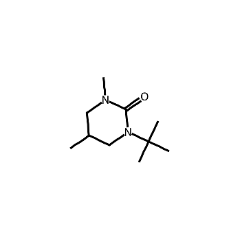 CC1CN(C)C(=O)N(C(C)(C)C)C1